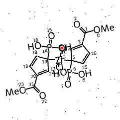 COC(=O)C1=C[C](P(=O)(O)O)([Zr]([Cl])([Cl])[C]2(P(=O)(O)O)C=CC(C(=O)OC)=C2)C=C1